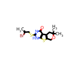 C=C(Br)CSc1nc(=O)c2c3c(sc2[nH]1)COC(C)(C)C3